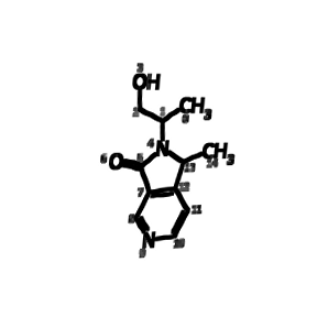 CC(CO)N1C(=O)c2cnccc2C1C